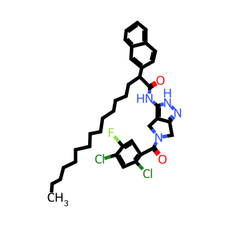 CCCCCCCCCCCCCCC(C(=O)Nc1[nH]nc2c1CN(C(=O)c1cc(F)c(Cl)cc1Cl)C2)c1ccc2ccccc2c1